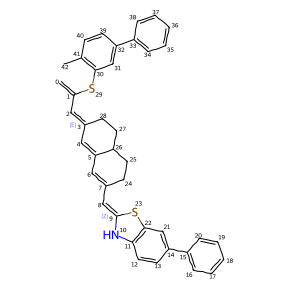 C=C(/C=C1/C=C2C=C(/C=C3/Nc4ccc(-c5ccccc5)cc4S3)CCC2CC1)Sc1cc(-c2ccccc2)ccc1C